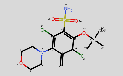 C=C1C(N2CCOCC2)=C(Cl)C(S(N)(=O)=O)=C(O[Si](C)(C)C(C)(C)C)C1Cl